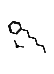 CCCCCCc1ccccc1.COC